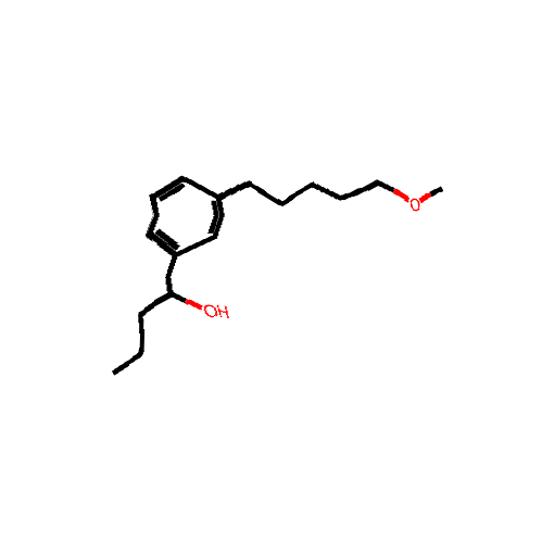 CCCC(O)c1cccc(CCCCCOC)c1